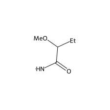 CCC(OC)C([NH])=O